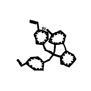 C=Cc1ccc(CC2(Cc3ccc(C=C)cc3)c3ccccc3-c3ccc(Br)cc32)cc1